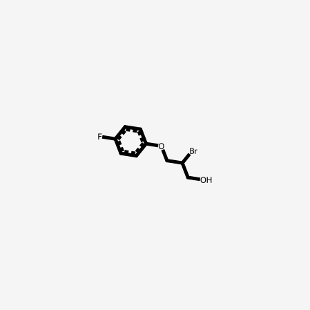 OCC(Br)COc1ccc(F)cc1